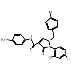 O=C(Nc1ccc(C(F)(F)F)cc1)c1cn(Cc2ccc(Cl)cc2)n(-c2ccc(Cl)cc2Cl)c1=O